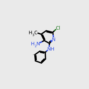 Cc1cc(Cl)nc(Nc2c[c]ccc2)c1N